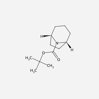 CC(C)(C)OC(=O)N1[C@@H]2CCC[C@H]1CC2